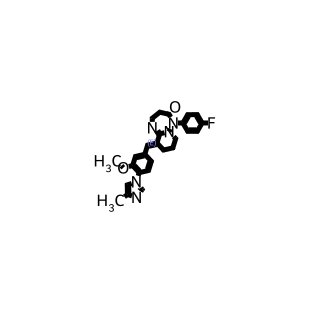 COc1cc(/C=C2\CCCN3C2=NCCC(=O)N3c2ccc(F)cc2)ccc1-n1cnc(C)c1